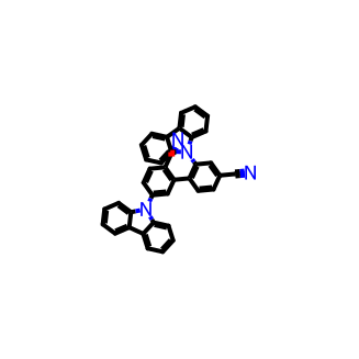 N#Cc1ccc(-c2cc(-n3c4ccccc4c4ccccc43)ccc2C#N)c(-n2c3ccccc3c3ccccc32)c1